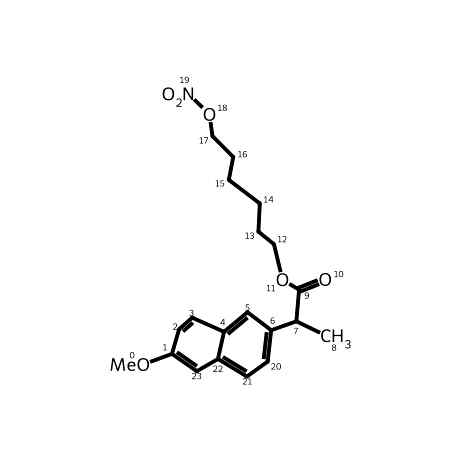 COc1ccc2cc(C(C)C(=O)OCCCCCCO[N+](=O)[O-])ccc2c1